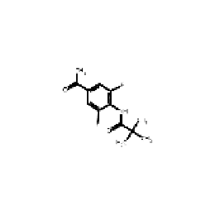 CC(=O)c1cc(F)c(NC(=O)C(C)(C)C)c(F)c1